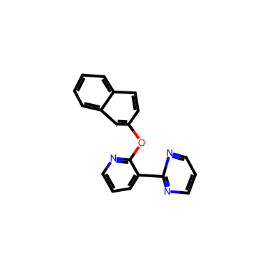 [c]1c(Oc2ncccc2-c2ncccn2)ccc2ccccc12